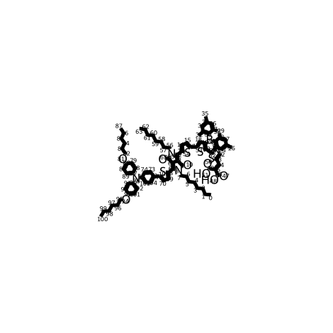 CCCCCCCCN1C(=O)C2=C(c3ccc(-c4cc(B(c5c(C)cc(C)cc5C)c5c(C)cc(C)cc5C)c(-c5ncc(C=C(C(=O)O)C(=O)O)s5)s4)s3)N(CCCCCCCC)C(=O)C2=C1c1ccc(-c2ccc(N(c3ccc(OCCCCCC)cc3)c3ccc(OCCCCCC)cc3)cc2)s1